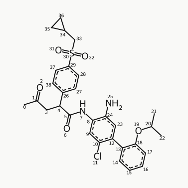 CC(=O)CC(C(=O)Nc1cc(Cl)c(-c2ccccc2OC(C)C)cc1N)c1ccc(S(=O)(=O)CC2CC2)cc1